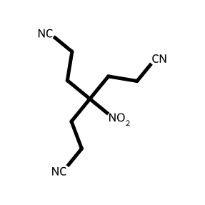 N#CCCC(CCC#N)(CCC#N)[N+](=O)[O-]